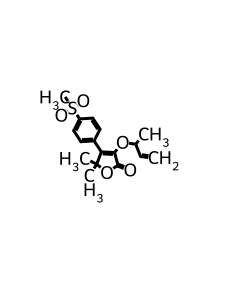 C=CC(C)OC1=C(c2ccc(S(C)(=O)=O)cc2)C(C)(C)OC1=O